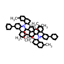 Cc1ccc2ccc(C)c(N(c3ccc(-c4ccccc4)cc3-c3ccccc3)c3cc(C(C)C)c4ccc5c(N(c6ccc(-c7ccccc7)cc6-c6ccccc6)c6c(C)ccc7ccc(C)cc67)cc(C(C)C)c6ccc3c4c65)c2c1